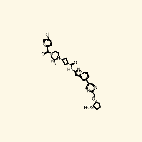 C[C@H]1CN(C(=O)c2ccc(Cl)cn2)CCN1[C@H]1C[C@@H](C(=O)Nc2cc3cc(-c4cnc(CO[C@H]5CCC[C@@H]5O)nc4)ccn3n2)C1